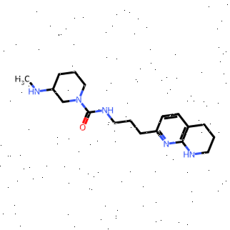 CNC1CCCN(C(=O)NCCCc2ccc3c(n2)NCCC3)C1